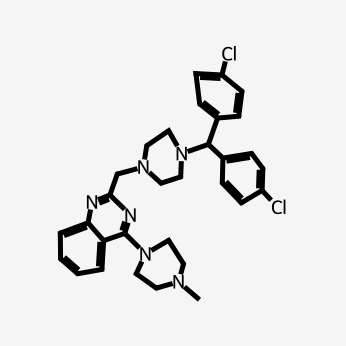 CN1CCN(c2nc(CN3CCN(C(c4ccc(Cl)cc4)c4ccc(Cl)cc4)CC3)nc3ccccc23)CC1